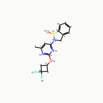 Cc1cc(N2Cc3ccccc3[S+]2[O-])nc(OC2CC(F)(F)C2)n1